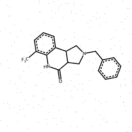 O=C1Nc2c(cccc2C(F)(F)F)C2CN(Cc3ccccc3)CC12